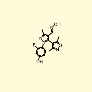 Cc1nn(-c2ccc(O)cc2F)c(-c2c(C)noc2C)c1/C=N/O